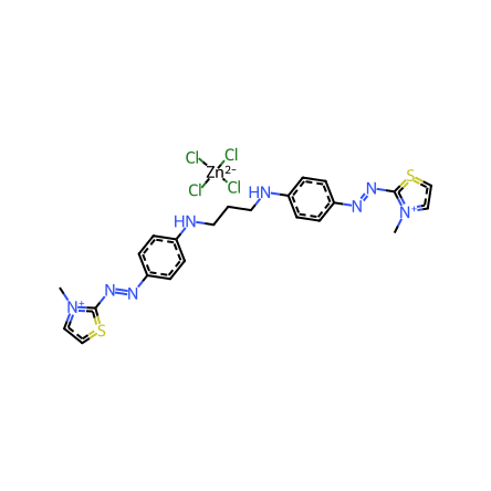 C[n+]1ccsc1/N=N/c1ccc(NCCCNc2ccc(/N=N/c3scc[n+]3C)cc2)cc1.[Cl][Zn-2]([Cl])([Cl])[Cl]